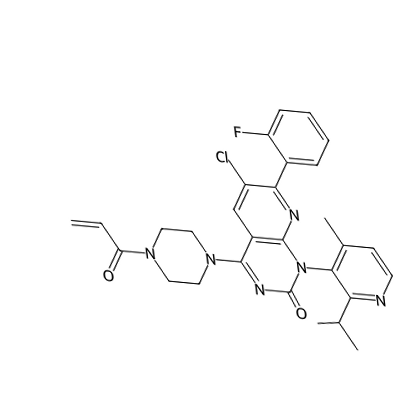 C=CC(=O)N1CCN(c2nc(=O)n(-c3c(C)ccnc3C(C)C)c3nc(-c4ccccc4F)c(Cl)cc23)CC1